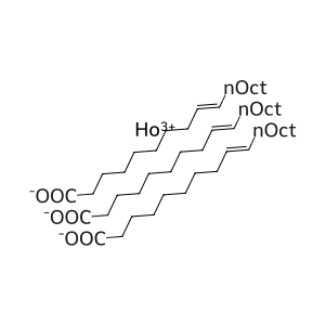 CCCCCCCCC=CCCCCCCCC(=O)[O-].CCCCCCCCC=CCCCCCCCC(=O)[O-].CCCCCCCCC=CCCCCCCCC(=O)[O-].[Ho+3]